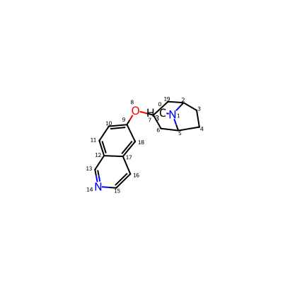 CN1C2CCC1CC(Oc1ccc3cnccc3c1)C2